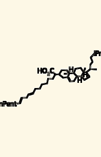 CCCCC/C=C/C/C=C/CCCCCCC(C(=O)O)[C@H]1CC[C@@]2(C)C(=CC[C@H]3[C@@H]4CC[C@H]([C@H](C)CCCC(C)C)[C@@]4(C)CC[C@@H]32)C1